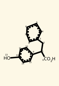 O=C(O)C(Cc1ccccc1)c1ccc(O)cc1